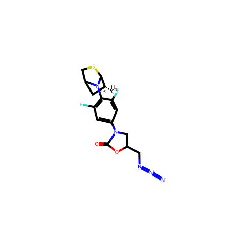 C[C@@H]1CC2CSC1N2c1c(F)cc(N2CC(CN=[N+]=[N-])OC2=O)cc1F